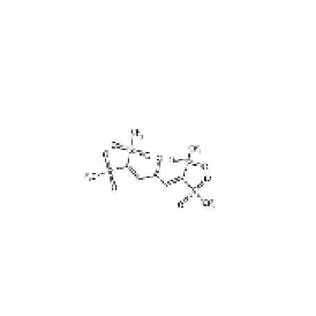 O=C(C=C(S(=O)(=O)C(F)(F)F)S(=O)(=O)C(F)(F)F)C=C(S(=O)(=O)C(F)(F)F)S(=O)(=O)C(F)(F)F